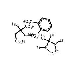 CCN(CC)C(C)(O)N(CC)CC.O=C(O)CC(O)(CC(=O)O)C(=O)O.O=C(O)c1ccccc1C(=O)O